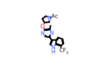 CC(=O)N1CCC(Oc2ncc(-c3c[nH]c4c(C(F)(F)F)cccc34)nc2C)C1